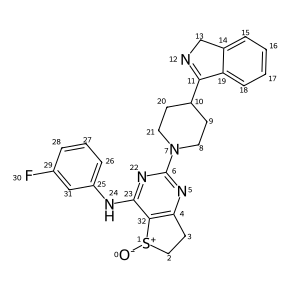 [O-][S+]1CCc2nc(N3CCC(C4=NCc5ccccc54)CC3)nc(Nc3cccc(F)c3)c21